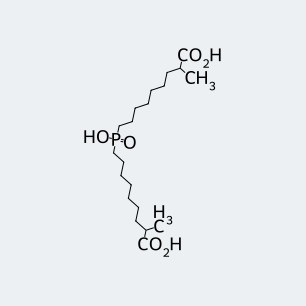 CC(CCCCCCCP(=O)(O)CCCCCCCC(C)C(=O)O)C(=O)O